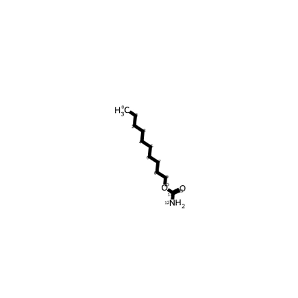 CCCCCCCCCCOC(N)=O